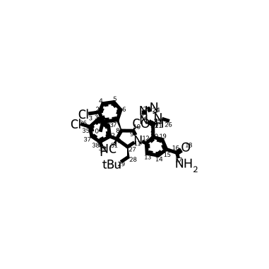 Cc1c(Cl)cccc1[C@H]1[C@H](C(=O)O)N(c2ccc(C(N)=O)cc2-c2nnnn2C)[C@@H](CC(C)(C)C)[C@]1(C#N)c1ccc(Cl)cc1F